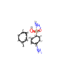 Cc1ccccc1.Nc1ccc(S(N)(=O)=O)cc1